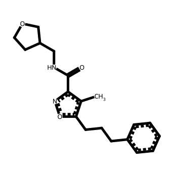 Cc1c(C(=O)NCC2CCOC2)noc1CCCc1ccccc1